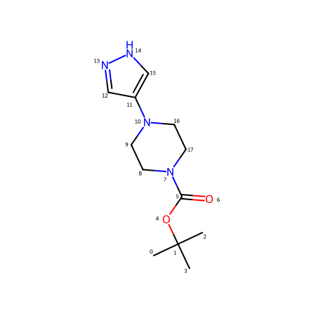 CC(C)(C)OC(=O)N1CCN(c2cn[nH]c2)CC1